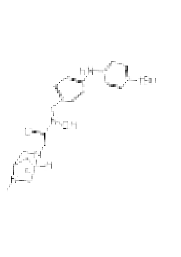 CN1C[C@@H]2CC1CN2CC(=O)N(O)Cc1ccc(Nc2ccc(C(C)(C)C)cc2)cc1